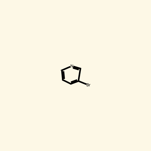 Brc1cc[c]nc1